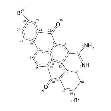 N=C(N)c1cc2c3c(ccc4c3c1C1=C(C=C(Br)CC1)C4=O)-c1ccc(Br)cc1C2=O